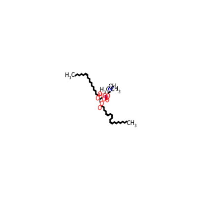 CCCCCC/C=C\CCCCCCCCCC(=O)O[C@H](COC(=O)CCC/C=C\C/C=C\C/C=C\CCCCCCCC)COP(=O)(O)OCC[N+](C)(C)C